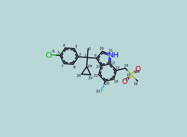 CC(c1ccc(Cl)cc1)(c1c[nH]c2c(CS(C)(=O)=O)cc(F)cc12)C1CC1